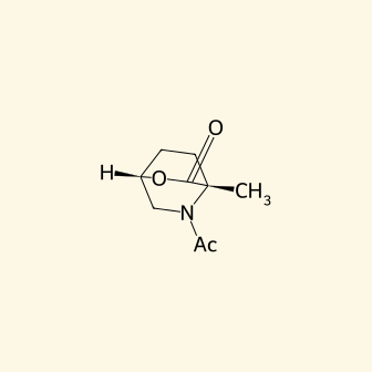 CC(=O)N1C[C@@H]2CC[C@@]1(C)C(=O)O2